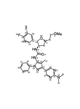 COCCN1C[C@@H](NC(=O)Nc2c(C)c(-c3cnc(N(C)C)nc3)nn2-c2ccccc2)[C@H](c2cnc(F)c(F)c2)O1